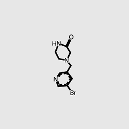 O=C1CN(Cc2cncc(Br)c2)CCN1